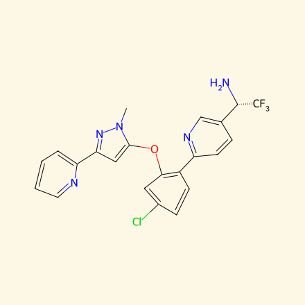 Cn1nc(-c2ccccn2)cc1Oc1cc(Cl)ccc1-c1ccc([C@H](N)C(F)(F)F)cn1